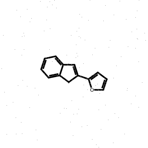 [CH]1C(c2ccco2)=Cc2ccccc21